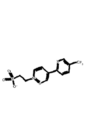 O=S(=O)([O-])CC[n+]1ccc(-c2ccc(C(F)(F)F)cn2)cn1